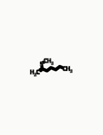 C=C(CCCCC)SC